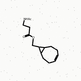 CC(=O)NCCC(=O)OCC1C2CC/C=C\CCC21